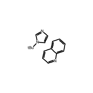 CC(C)(C)n1ccnc1.c1ccc2ncccc2c1